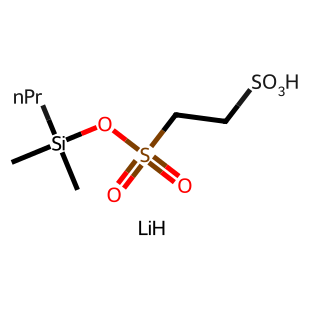 CCC[Si](C)(C)OS(=O)(=O)CCS(=O)(=O)O.[LiH]